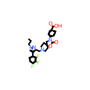 CCCn1cc(-c2ccc(F)c(F)c2F)c(CN2CCC3(CC2)CN(c2ccc(C(=O)O)cc2)C(=O)O3)n1